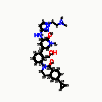 CN(C)CCn1ccc(Nc2cc(-c3cccc(N4CCc5cc(C6CC6)ccc5C4=O)c3CO)cn(C)c2=O)n1